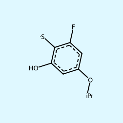 CC(C)Oc1cc(O)c([S])c(F)c1